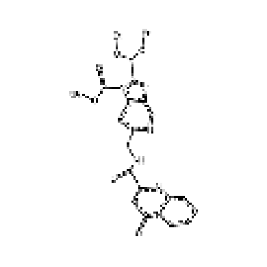 CCOC(OCC)c1cc2cnc(CNC(=O)c3cc(=O)n4ccccc4n3)cc2n1C(=O)OC(C)(C)C